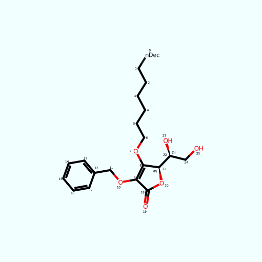 CCCCCCCCCCCCCCCCOC1=C(OCc2ccccc2)C(=O)O[C@@H]1[C@@H](O)CO